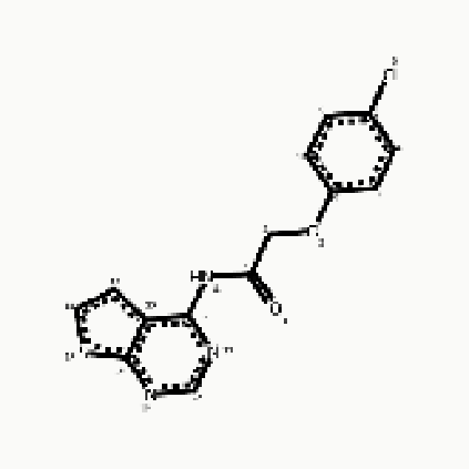 O=C(COc1ccc(Cl)cc1)Nc1ncnc2sccc12